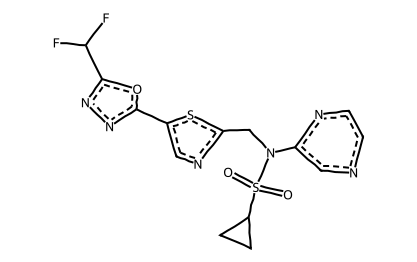 O=S(=O)(C1CC1)N(Cc1ncc(-c2nnc(C(F)F)o2)s1)c1cnccn1